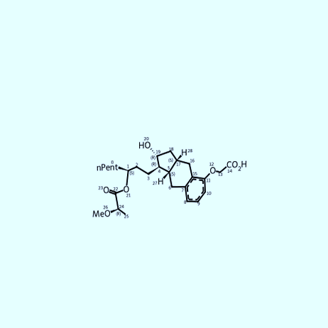 CCCCC[C@@H](CC[C@@H]1[C@H]2Cc3cccc(OCC(=O)O)c3C[C@H]2C[C@H]1O)OC(=O)[C@@H](C)OC